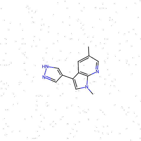 Cc1cnc2c(c1)c(-c1cn[nH]c1)cn2C